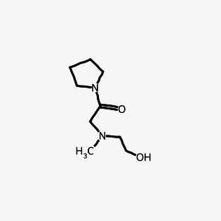 CN(CCO)CC(=O)N1CCCC1